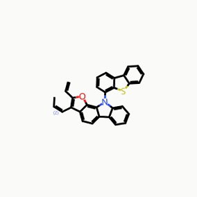 C=Cc1oc2c(ccc3c4ccccc4n(-c4cccc5c4sc4ccccc45)c32)c1/C=C\C